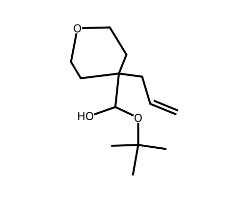 C=CCC1(C(O)OC(C)(C)C)CCOCC1